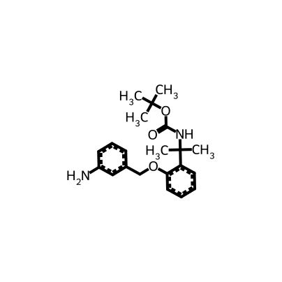 CC(C)(C)OC(=O)NC(C)(C)c1ccccc1OCc1cccc(N)c1